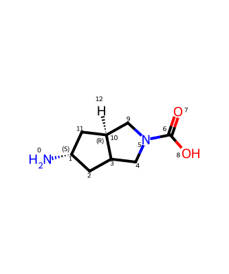 N[C@H]1CC2CN(C(=O)O)C[C@@H]2C1